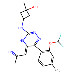 CC(=N)/C=C1\NC(NC2CC(C)(O)C2)=NN=C1c1ccc(C(F)(F)F)cc1OC(F)F